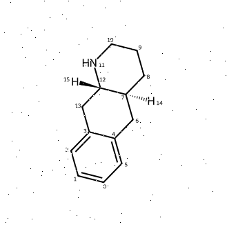 c1ccc2c(c1)C[C@@H]1CCCN[C@H]1C2